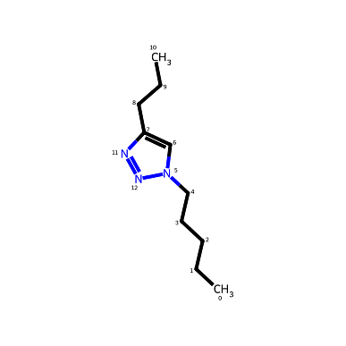 CCCCCn1cc(CCC)nn1